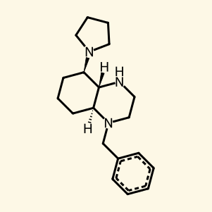 c1ccc(CN2CCN[C@H]3[C@H](N4CCCC4)CCC[C@@H]32)cc1